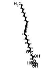 CCCCCCCCCCC#CC#CCCCCCCCCC(=O)OCC(O)COP(=O)(O)O